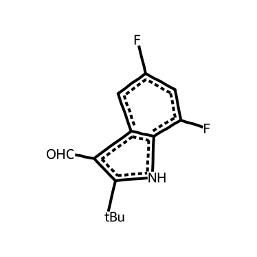 CC(C)(C)c1[nH]c2c(F)cc(F)cc2c1C=O